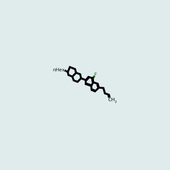 C=CCCc1ccc2cc(C3CCC4CC(CCCCCC)CCC4C3)cc(F)c2c1